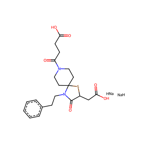 O=C(O)CCC(=O)N1CCC2(CC1)SC(CC(=O)O)C(=O)N2CCc1ccccc1.[NaH].[NaH]